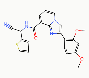 COc1ccc(-c2cn3cccc(C(=O)NC(C#N)c4cccs4)c3n2)c(OC)c1